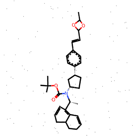 CC1OC(/C=C/c2ccc([C@@H]3CC[C@H](N(C(=O)OC(C)(C)C)[C@H](C)C4=C5C=CCCC5CC=C4)C3)cc2)O1